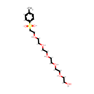 Cc1ccc(S(=O)(=O)CCOCCOCCOCCOCCOCCO)cc1